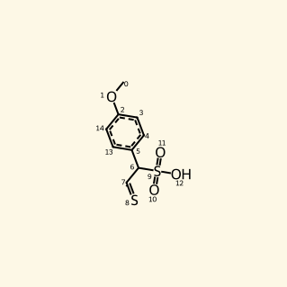 COc1ccc(C([C]=S)S(=O)(=O)O)cc1